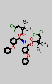 CC1(C)C(C=C(Cl)Cl)C1C(=O)OC(C#N)c1cccc(Oc2ccccc2)c1.CC1(C)C(C=C(Cl)Cl)C1C(=O)OCc1cccc(Oc2ccccc2)c1